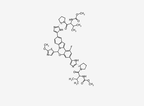 COC(=O)NC(C(=O)N1CCC[C@H]1c1ncc(-c2cc(F)c3c(c2)OC(c2cnc(OC)s2)n2c-3cc3cc(-c4cnc([C@@H]5CCCN5C(=O)C(NC(=O)OC)C(C)C)[nH]4)ccc32)[nH]1)C(C)C